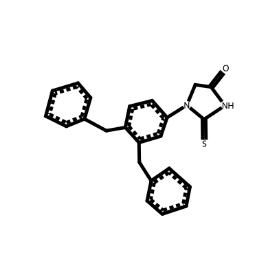 O=C1CN(c2ccc(Cc3ccccc3)c(Cc3ccccc3)c2)C(=S)N1